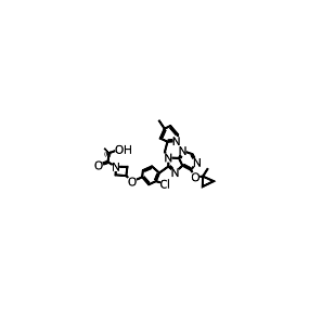 Cc1ccnc(Cn2c(-c3ccc(OC4CN(C(=O)[C@@H](C)O)C4)cc3Cl)nc3c(OC4(C)CC4)ncnc32)c1